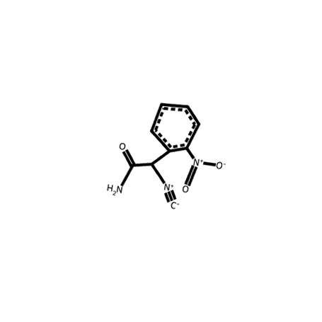 [C-]#[N+]C(C(N)=O)c1ccccc1[N+](=O)[O-]